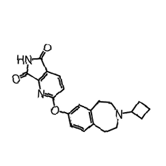 O=C1NC(=O)c2nc(Oc3ccc4c(c3)CCN(C3CCC3)CC4)ccc21